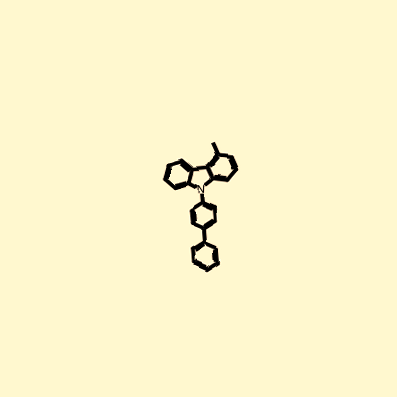 Cc1cccc2c1c1ccccc1n2-c1ccc(-c2ccccc2)cc1